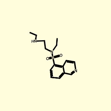 CCNCCN(CC)S(=O)(=O)c1cccc2cnccc12